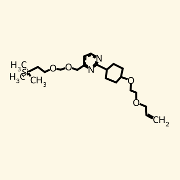 C=CCOCCOC1CCC(c2nccc(COCOCC[Si](C)(C)C)n2)CC1